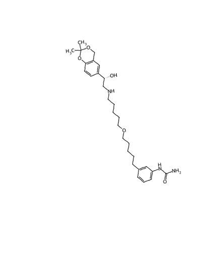 CC1(C)OCc2cc([C@H](O)CNCCCCCOCCCCCc3cccc(NC(N)=O)c3)ccc2O1